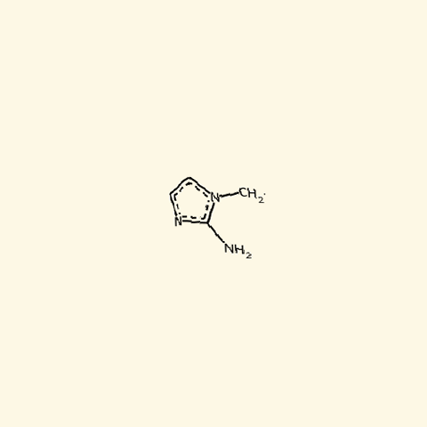 [CH2]n1ccnc1N